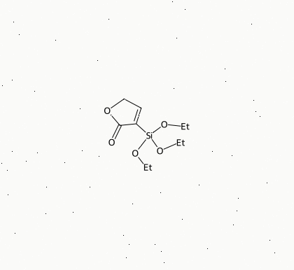 CCO[Si](OCC)(OCC)C1=CCOC1=O